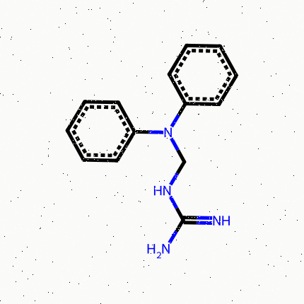 N=C(N)NCN(c1cc[c]cc1)c1ccccc1